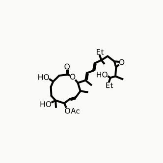 CCC(O)C(C)C1OC1CC(C)(/C=C/C=C(\C)C1OC(=O)CC(O)CCC(C)(O)C(OC(C)=O)/C=C/C1C)CC